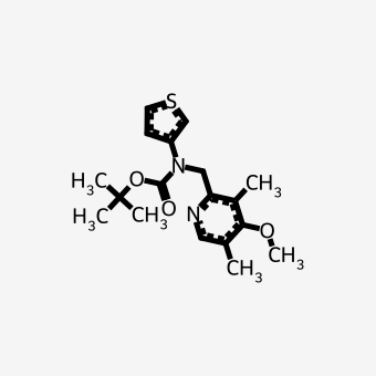 COc1c(C)cnc(CN(C(=O)OC(C)(C)C)c2ccsc2)c1C